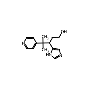 CC(C)(c1ccncc1)C([CH]CO)c1cnc[nH]1